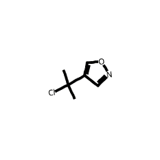 CC(C)(Cl)c1cnoc1